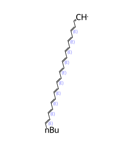 [CH]=C/C=C/C=C/C=C/C=C/C=C/C=C/C=C/C=C/C=C/C=C/CCCC